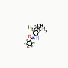 CC(C)(C)c1ccc(NC(=O)c2ccccc2)cc1F